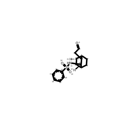 O=CC[C@H]1C2CCC(CC2)[C@@H]1NS(=O)(=O)c1ccccc1